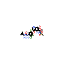 COc1cc2nccc(Oc3c(F)cc(NC(=O)NC4CC4)c(Cl)c3F)c2cc1C(=O)NS(C)(=O)=O